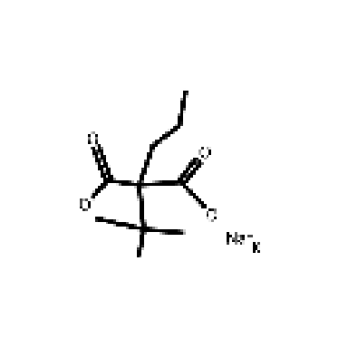 CCCC(C(=O)[O-])(C(=O)[O-])C(C)(C)C.[K+].[Na+]